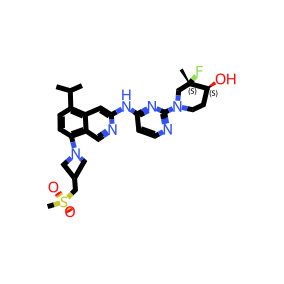 CC(C)c1ccc(N2CC(CS(C)(=O)=O)C2)c2cnc(Nc3ccnc(N4CC[C@H](O)[C@@](C)(F)C4)n3)cc12